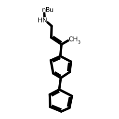 CCCCNCC=C(C)c1ccc(-c2ccccc2)cc1